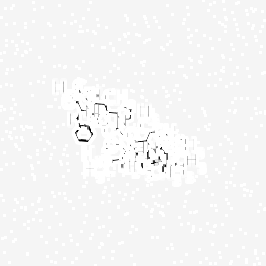 CC[C@H](C)[C@@H]([C@@H](CC(=O)N1CCC[C@H]1[C@H](OC)[C@@H](C)C(=O)N[C@@H](Cc1ccccc1)C(=O)NC)OC)N(C)C(=O)[C@@H](NC(=O)[C@H](C(C)C)N(C)C(C)(C)C)C(C)C